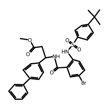 COC(=O)CC(NC(=O)c1cc(Br)ccc1NS(=O)(=O)c1ccc(C(C)(C)C)cc1)c1ccc(-c2ccccc2)cc1